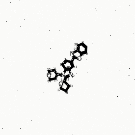 c1ccc2oc(-c3ccc4c(c3)nc(C3CCCO3)n4C3CCOCC3)nc2c1